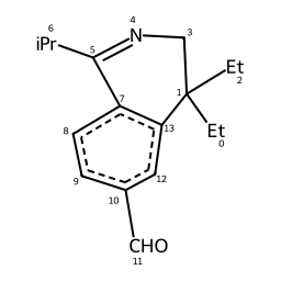 CCC1(CC)CN=C(C(C)C)c2ccc(C=O)cc21